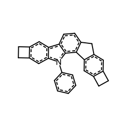 c1ccc(-n2c3cc4c(cc3c3ccc5c(c32)-c2cc3c(cc2C5)CC3)CC4)cc1